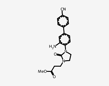 COC(=O)CCN1CCN(c2ccc(-c3ccc(C#N)cc3)cc2N)C1=O